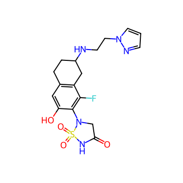 O=C1CN(c2c(O)cc3c(c2F)CC(NCCn2cccn2)CC3)S(=O)(=O)N1